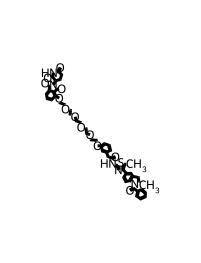 Cc1ccccc1C(=O)N1CCc2cc(-c3nc(NC(=O)Cc4cccc(OCCOCCOCCOCCOCCOc5cccc6c5C(=O)N(C5CCC(=O)NC5=O)C6=O)c4)sc3C)ccc21